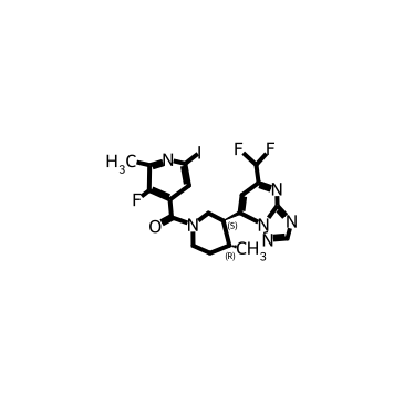 Cc1nc(I)cc(C(=O)N2CC[C@@H](C)[C@H](c3cc(C(F)F)nc4ncnn34)C2)c1F